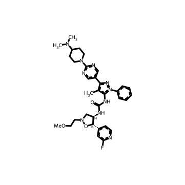 COCCN1C[C@@H](NC(=O)Nc2c(C)c(-c3cnc(N4CCC(N(C)C)CC4)nc3)nn2-c2ccccc2)[C@H](c2ccnc(F)c2)O1